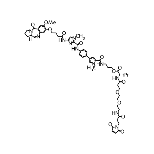 COc1cc2c(cc1OCCCC(=O)Nc1cn(C)c(C(=O)Nc3ccc(-c4cc(C(=O)NCCCOC(=O)[C@@H](NC(=O)CCOCCOCCNC(=O)CCN5C(=O)C=CC5=O)C(C)C)n(C)c4)cc3)n1)N=C[C@@H]1CCCN1C2=O